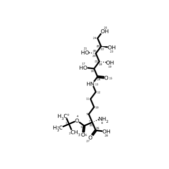 CC(C)(C)OC(=O)[C@@](N)(CCCCNC(=O)C(O)[C@@H](O)[C@H](O)[C@H](O)CO)C(=O)O